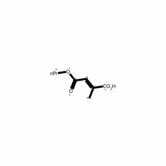 CCCOC(=O)C=C(C)C(=O)O